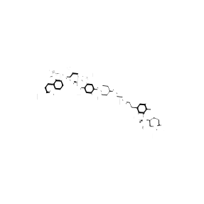 CCOc1cc(N2CCC(NCCNCCc3cc(F)c(F)c4c3oc(=O)n4C3CCC(=O)NC3=O)CC2)c(CC)cc1Nc1ncc(Br)c(Nc2ccc3nc(CC)ccc3c2P(C)(C)=O)n1